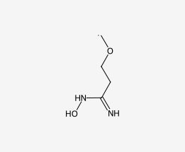 [CH2]OCCC(=N)NO